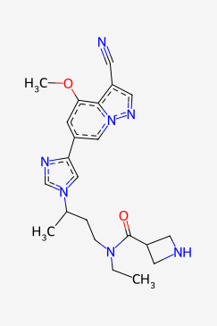 CCN(CCC(C)n1cnc(-c2cc(OC)c3c(C#N)cnn3c2)c1)C(=O)C1CNC1